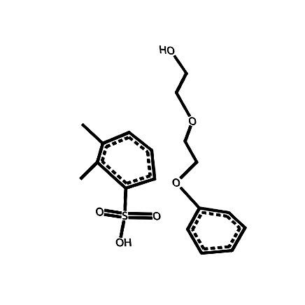 Cc1cccc(S(=O)(=O)O)c1C.OCCOCCOc1ccccc1